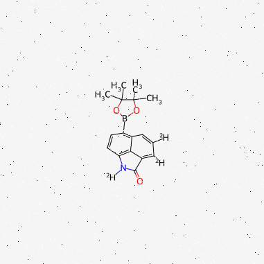 [2H]c1cc2c(B3OC(C)(C)C(C)(C)O3)ccc3c2c(c1[2H])C(=O)N3[2H]